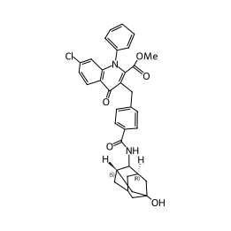 COC(=O)c1c(Cc2ccc(C(=O)NC3[C@@H]4CC5C[C@H]3CC(O)(C5)C4)cc2)c(=O)c2ccc(Cl)cc2n1-c1ccccc1